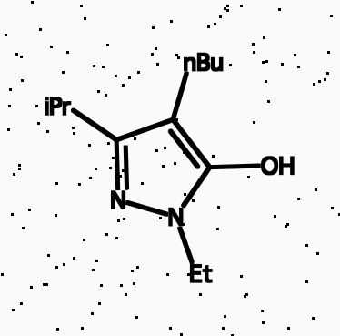 CCCCc1c(C(C)C)nn(CC)c1O